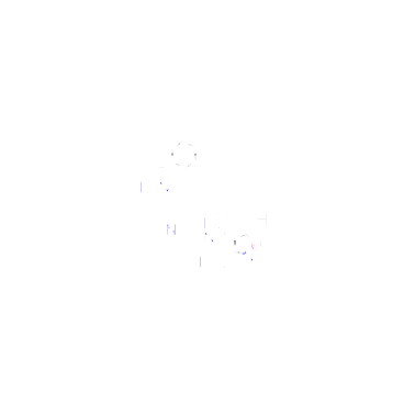 Cc1noc(C)c1[S+]([O-])NC[C@@H]1CCCN1CC[C@H](N)Cc1ccccc1F